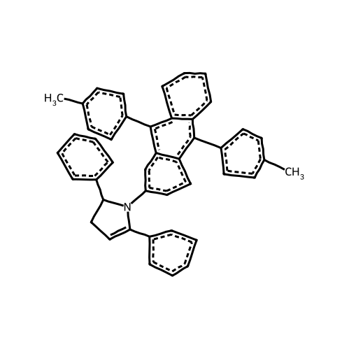 Cc1ccc(-c2c3ccccc3c(-c3ccc(C)cc3)c3cc(N4C(c5ccccc5)=CCC4c4ccccc4)ccc23)cc1